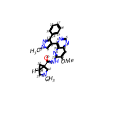 COc1cc2ncnc(-c3cn(C)nc3-c3ccccc3)c2nc1NC(=O)[C@]12C[C@H]1CN(C)C2